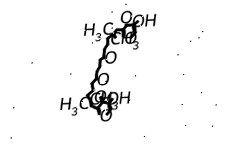 CC(C)(CCCC(=O)CCCC(=O)CCCC(C)(C)Cc1cocc(O)c1=O)Cc1cocc(O)c1=O